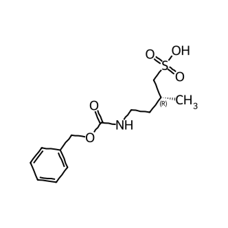 C[C@H](CCNC(=O)OCc1ccccc1)CS(=O)(=O)O